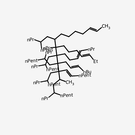 CC=CCCCC[C](CC(CCC)CCCCC)C(CCC)(CCCC=CCC)C(CCC=CCCC)(CC(CCC)CCCCC)C(CC=CCCCC)(CC(CCC)CCCCC)C(C=CCCCCC)(CC(CCC)CCCCC)C(C)CC(CCC)CCCCC